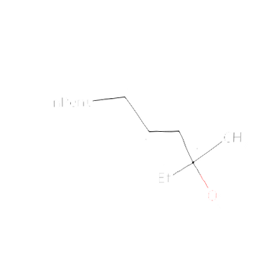 CCCCCCCCC(C)([O])CC